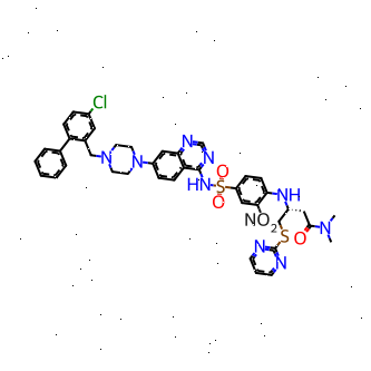 CN(C)C(=O)C[C@H](CSc1ncccn1)Nc1ccc(S(=O)(=O)Nc2ncnc3cc(N4CCN(Cc5cc(Cl)ccc5-c5ccccc5)CC4)ccc23)cc1[N+](=O)[O-]